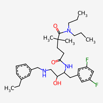 CCCN(CCC)C(=O)C(C)(C)CCC(=O)NC(Cc1cc(F)cc(F)c1)C(O)CNCc1cccc(CC)c1